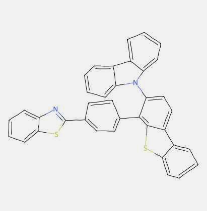 c1ccc2sc(-c3ccc(-c4c(-n5c6ccccc6c6ccccc65)ccc5c4sc4ccccc45)cc3)nc2c1